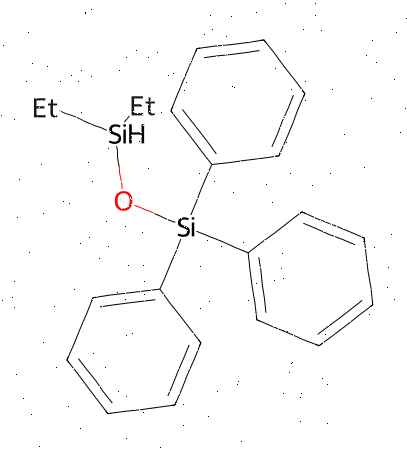 CC[SiH](CC)O[Si](c1ccccc1)(c1ccccc1)c1ccccc1